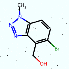 Cn1nnc2c(CO)c(Br)ccc21